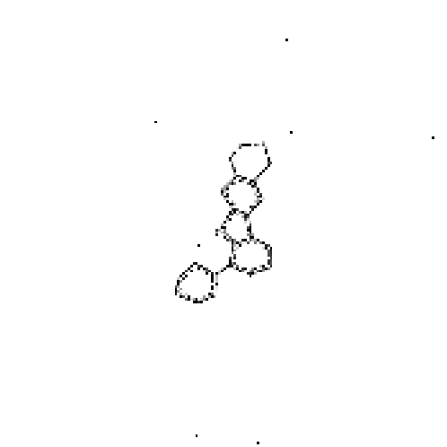 c1ccc(-c2nccc3c2oc2cc4c(cc23)CCCC4)cc1